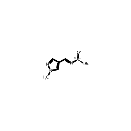 Cn1cc(C=N[S@@+]([O-])C(C)(C)C)cn1